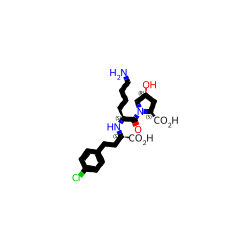 NCCCC[C@H](N[C@@H](CCc1ccc(Cl)cc1)C(=O)O)C(=O)N1C[C@H](O)C[C@H]1C(=O)O